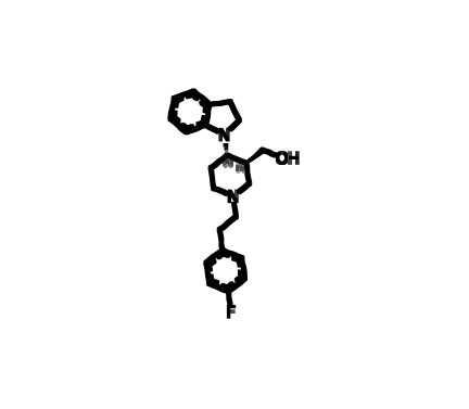 OC[C@H]1CN(CCc2ccc(F)cc2)CC[C@@H]1N1CCc2ccccc21